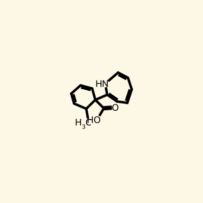 CC1C=CC=CC1(C(=O)O)C1=CC=CC=CN1